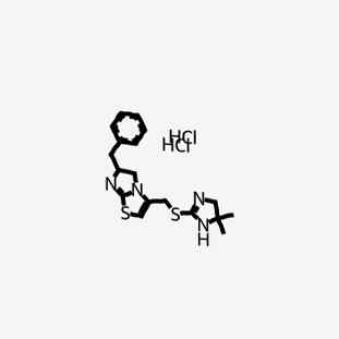 CC1(C)CN=C(SCC2=CSC3=NC(Cc4ccccc4)CN23)N1.Cl.Cl